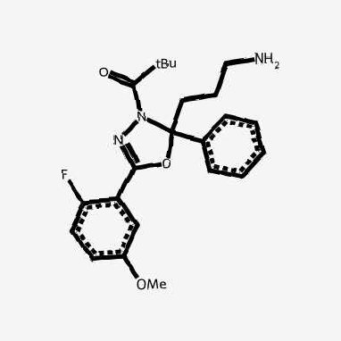 COc1ccc(F)c(C2=NN(C(=O)C(C)(C)C)C(CCCN)(c3ccccc3)O2)c1